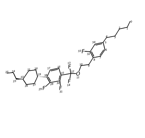 CCCCCc1ccc(CCOC(F)(F)c2ccc([C@H]3CC[C@H](CCC)CC3)c(F)c2F)c(F)c1